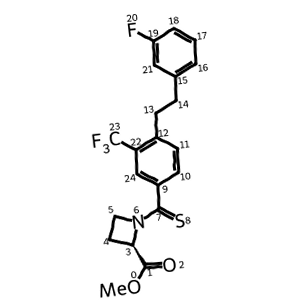 COC(=O)[C@H]1CCN1C(=S)c1ccc(CCc2cccc(F)c2)c(C(F)(F)F)c1